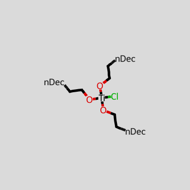 CCCCCCCCCCCC[O][Ti]([Cl])([O]CCCCCCCCCCCC)[O]CCCCCCCCCCCC